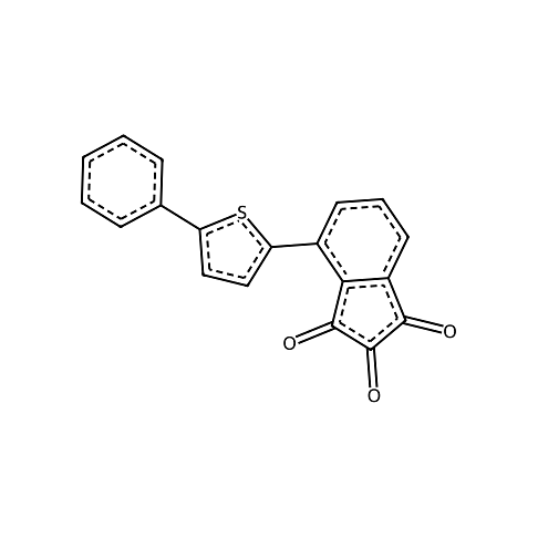 O=c1c(=O)c2cccc(-c3ccc(-c4ccccc4)s3)c2c1=O